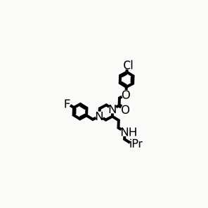 CC(C)CNCCC1CN(Cc2ccc(F)cc2)CCN1C(=O)COc1ccc(Cl)cc1